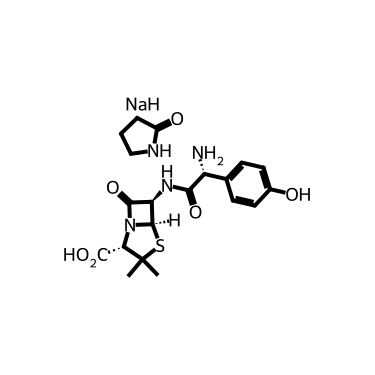 CC1(C)S[C@@H]2[C@H](NC(=O)[C@H](N)c3ccc(O)cc3)C(=O)N2[C@H]1C(=O)O.O=C1CCCN1.[NaH]